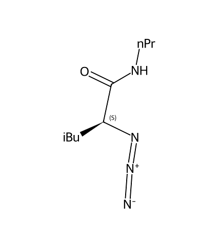 CCCNC(=O)[C@@H](N=[N+]=[N-])C(C)CC